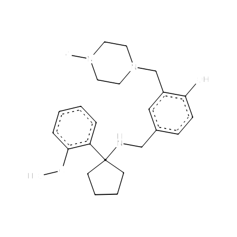 COc1ccccc1C1(NCc2ccc(O)c(CN3CCN(C)CC3)c2)CCCC1